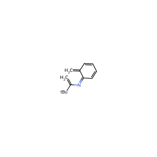 C=C1C=CC=C/C1=N/C(=C)C(C)(C)C